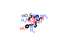 NC(=O)CCC(NC(=O)C1CCCN1C(=O)C(CCC(N)=O)NC(=O)C1CCCN1C(=O)C(N)Cc1ccc(O)cc1)C(=O)O